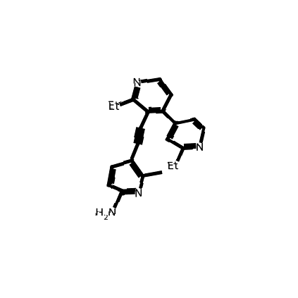 CCc1cc(-c2ccnc(CC)c2C#Cc2ccc(N)nc2C)ccn1